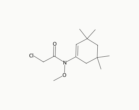 CON(C(=O)CCl)C1=CC(C)(C)CC(C)(C)C1